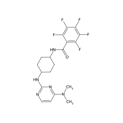 CN(C)c1ccnc(NC2CCC(NC(=O)c3c(F)c(F)c(F)c(F)c3F)CC2)n1